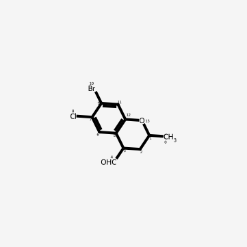 CC1CC(C=O)c2cc(Cl)c(Br)cc2O1